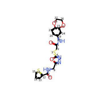 O=C(CSc1nnc(CNC(=O)c2cccs2)o1)Nc1ccc2c(c1)OCCO2